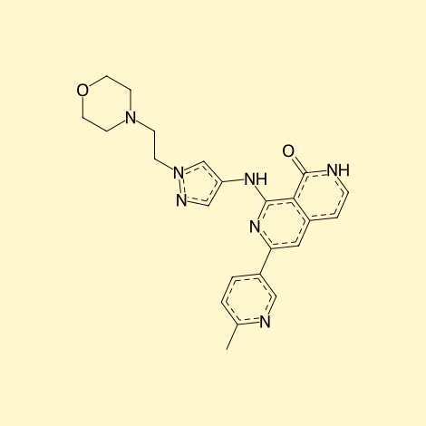 Cc1ccc(-c2cc3cc[nH]c(=O)c3c(Nc3cnn(CCN4CCOCC4)c3)n2)cn1